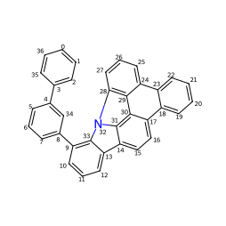 c1ccc(-c2cccc(-c3cccc4c5ccc6c7ccccc7c7cccc8c7c6c5n8c34)c2)cc1